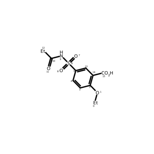 CCOc1ccc(S(=O)(=O)NC(=O)CC)cc1C(=O)O